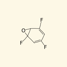 FC1=CC2(F)OC2C(F)=C1